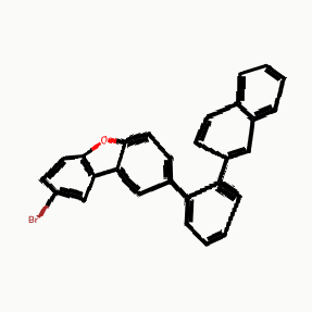 Brc1ccc2oc3ccc(-c4ccccc4-c4ccc5ccccc5c4)cc3c2c1